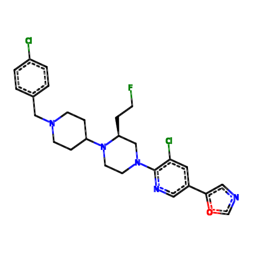 FCC[C@H]1CN(c2ncc(-c3cnco3)cc2Cl)CCN1C1CCN(Cc2ccc(Cl)cc2)CC1